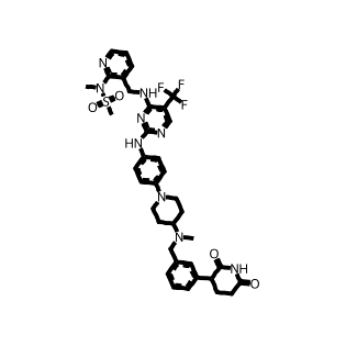 CN(Cc1cccc(C2CCC(=O)NC2=O)c1)C1CCN(c2ccc(Nc3ncc(C(F)(F)F)c(NCc4cccnc4N(C)S(C)(=O)=O)n3)cc2)CC1